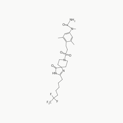 Cc1cc(N(C)C(N)=O)cc(C)c1CCS(=O)(=O)N1CCC2(CC1)N=C(CCCCCC(F)(F)C(F)(F)F)NC2=O